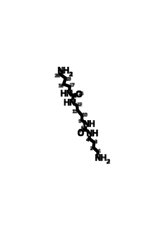 NCCCCNC(=O)NCCCCNC(=O)NCCCCN